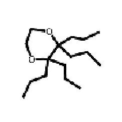 CCCC1(CCC)OCCOC1(CCC)CCC